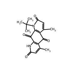 Cc1cc(=O)[nH]c2c1C(=O)c1c(C)cc(=O)n(C(C)(C)C)c1C2=O